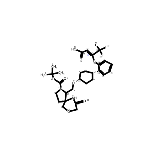 CC(C)(C)OC(=O)N1CCC2(COCC(=O)N2)C1CO[C@H]1CC[C@@H](c2ccccc2O/C(=C\C(=O)O)C(F)(F)F)CC1